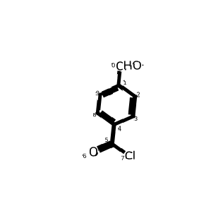 O=[C]c1ccc(C(=O)Cl)cc1